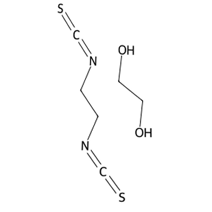 OCCO.S=C=NCCN=C=S